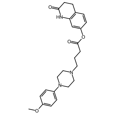 COc1ccc(N2CCN(CCCC(=O)Oc3ccc4c(c3)NC(=O)CC4)CC2)cc1